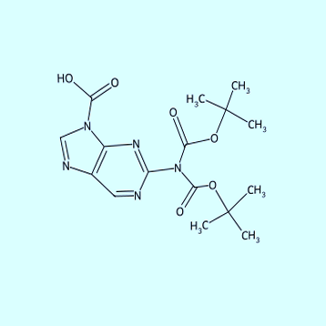 CC(C)(C)OC(=O)N(C(=O)OC(C)(C)C)c1ncc2ncn(C(=O)O)c2n1